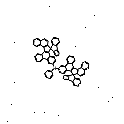 c1ccc(N(c2ccc3c4c(c5ccccc5c3c2)-c2c(ccc3ccccc23)C42c3ccccc3-c3ccccc32)c2ccc3c4c(c5ccccc5c3c2)-c2c(ccc3ccccc23)C42c3ccccc3-c3ccccc32)cc1